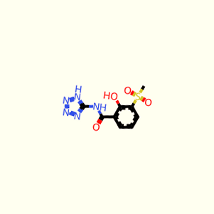 CS(=O)(=O)c1cccc(C(=O)Nc2nnn[nH]2)c1O